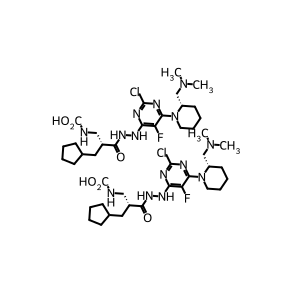 CN(C)C[C@@H]1CCCCN1c1nc(Cl)nc(NNC(=O)[C@@H](CNC(=O)O)CC2CCCC2)c1F.CN(C)C[C@@H]1CCCCN1c1nc(Cl)nc(NNC(=O)[C@@H](CNC(=O)O)CC2CCCC2)c1F